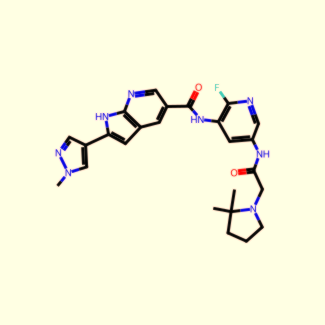 Cn1cc(-c2cc3cc(C(=O)Nc4cc(NC(=O)CN5CCCC5(C)C)cnc4F)cnc3[nH]2)cn1